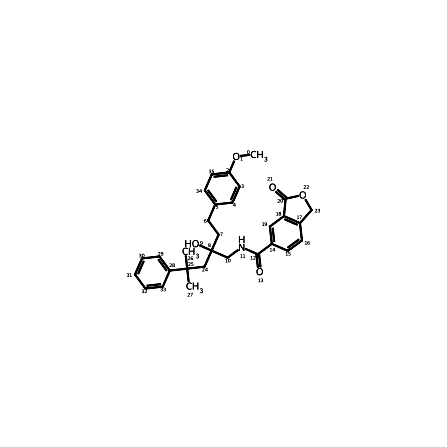 COc1ccc(CCC(O)(CNC(=O)c2ccc3c(c2)C(=O)OC3)CC(C)(C)c2ccccc2)cc1